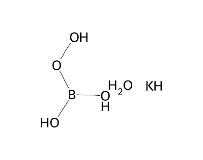 O.OOB(O)O.[KH]